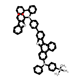 C[Si](C)(C)c1ccc(N(c2ccccc2)c2ccc3c(c2)c2ccccc2c2c4ccc(-c5ccc(N(c6ccccc6-c6ccccc6)c6cccc7c6oc6ccccc67)cc5)cc4oc32)cc1